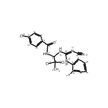 CC(Cl)(Cl)C(NC(=O)c1ccc(Cl)cc1)N/C(=N/C#N)Nc1ccccc1F